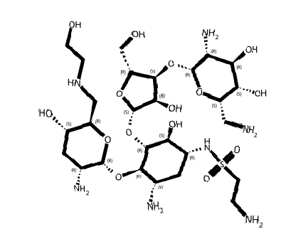 NCCS(=O)(=O)N[C@@H]1C[C@H](N)[C@@H](O[C@H]2O[C@H](CNCCO)[C@@H](O)C[C@H]2N)[C@H](O[C@@H]2O[C@H](CO)[C@@H](O[C@H]3O[C@@H](CN)[C@@H](O)[C@H](O)[C@H]3N)[C@H]2O)[C@H]1O